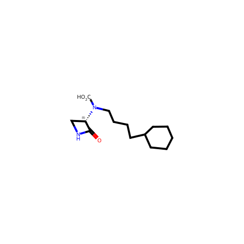 O=C1NC[C@@H]1N(CCCCC1CCCCC1)C(=O)O